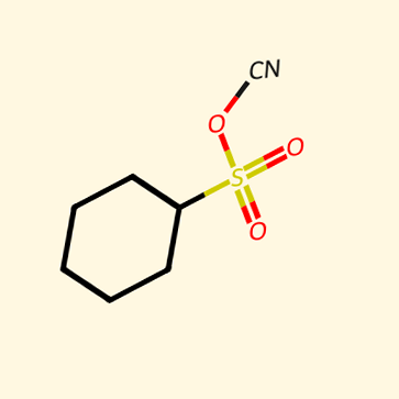 N#COS(=O)(=O)C1CCCCC1